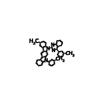 Cc1cccc(-c2nc(-n3c4ccc(C)cc4c4cc5c6ccccc6n(-c6cccc(C)c6)c5cc43)nc3ccccc23)c1